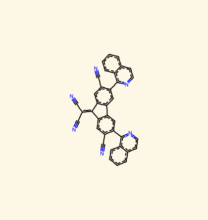 N#CC(C#N)=C1c2cc(C#N)c(-c3nccc4ccccc34)cc2-c2cc(-c3nccc4ccccc34)c(C#N)cc21